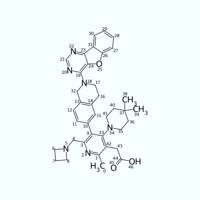 Cc1nc(CN2CCC2)c(-c2ccc3c(c2)CCN(c2ncnc4c2oc2ccccc24)C3)c(N2CCC(C)(C)CC2)c1CC(=O)O